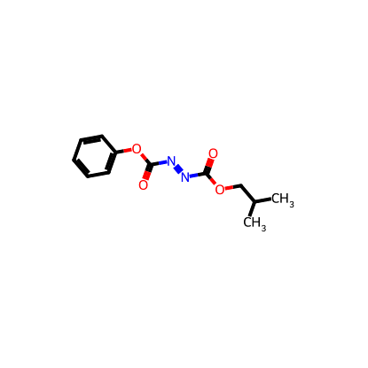 CC(C)COC(=O)N=NC(=O)Oc1ccccc1